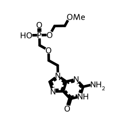 COCCOP(=O)(O)COCCn1cnc2c(=O)[nH]c(N)nc21